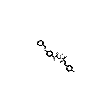 Cc1ccc(/C=C/S(=O)(=O)NCC(=O)Nc2ccc(OCc3ccccc3)cc2)cc1